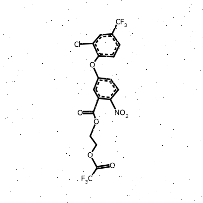 O=C(OCCOC(=O)C(F)(F)F)c1cc(Oc2ccc(C(F)(F)F)cc2Cl)ccc1[N+](=O)[O-]